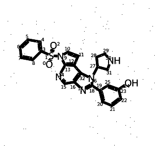 O=S(=O)(c1ccccc1)n1ccc2c1ncc1nc(-c3cccc(O)c3)n(C3CCNC3)c12